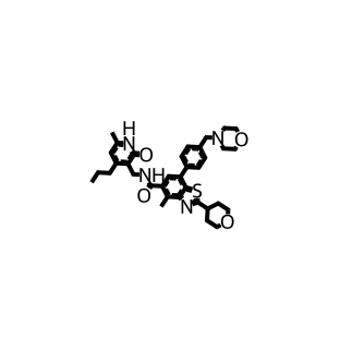 CCCc1cc(C)[nH]c(=O)c1CNC(=O)c1cc(-c2ccc(CN3CCOCC3)cc2)c2sc(C3CCOCC3)nc2c1C